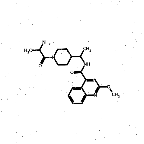 COc1cc(C(=O)NC(C)C2CCN(C(=O)C(C)N)CC2)c2ccccc2n1